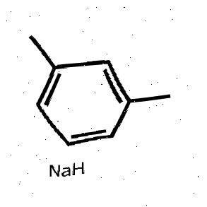 Cc1cccc(C)c1.[NaH]